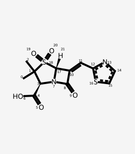 CC1(C)[C@H](C(=O)O)N2C(=O)/C(=C\c3nccs3)[C@H]2S1(=O)=O